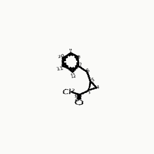 O=C(Cl)C1CC1Cc1ccccc1